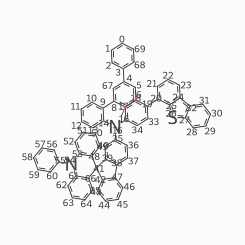 c1ccc(-c2cccc(-c3ccccc3N(c3ccc(-c4cccc5c4sc4ccccc45)cc3)c3ccc4c(c3)C3(c5ccccc5-4)c4ccccc4N(c4ccccc4)c4ccccc43)c2)cc1